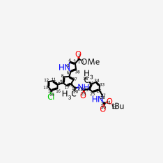 COC(=O)c1c[nH]c(-c2cc(-c3cccc(Cl)c3)cc(C(C)NC(=O)c3cc(CNC(=O)OC(C)(C)C)ccc3C)c2)c1